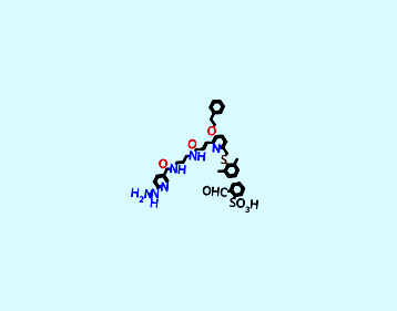 Cc1cccc(C)c1SCc1ccc(OCCc2ccccc2)c(C=CC(=O)NCCCNC(=O)c2ccc(NN)nc2)n1.O=Cc1ccccc1S(=O)(=O)O